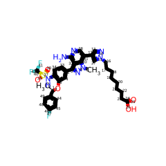 C[C@H](Oc1cc(-c2nn(C)c3c(-c4cnn(CCCCCCCCC(=O)O)c4)cnc(N)c23)ccc1NS(=O)(=O)C(F)F)c1ccc(F)cc1